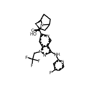 O=C(c1cc2c(cn1)c(Nc1cc(F)ccn1)nn2CC(F)(F)F)N1C2CCC1CC(O)C2